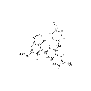 COc1cc(OC)c(F)c(-c2cc3cnc(N)nc3c(NC3CCN(C)CC3)n2)c1F